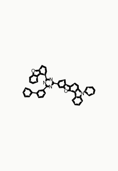 c1ccc(-c2cccc(-c3nc(-c4ccc5c(c4)oc4c5ccc5c4c4ccccc4n5-c4ccccc4)nc(-c4cccc5oc6ccccc6c45)n3)c2)cc1